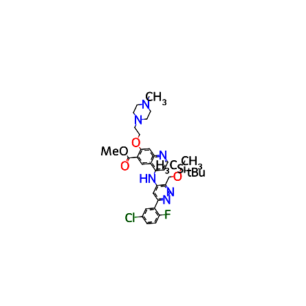 COC(=O)c1cc2c(Nc3cc(-c4cc(Cl)ccc4F)nnc3CO[Si](C)(C)C(C)(C)C)ccnc2cc1OCCN1CCN(C)CC1